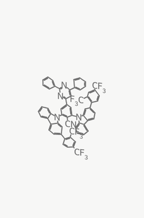 N#Cc1c(-n2c3ccccc3c3ccc(-c4ccc(C(F)(F)F)cc4C(F)(F)F)cc32)cc(-c2cc(-c3ccccc3)nc(-c3ccccc3)n2)cc1-n1c2ccccc2c2ccc(-c3ccc(C(F)(F)F)cc3C(F)(F)F)cc21